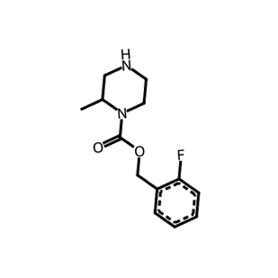 CC1CNCCN1C(=O)OCc1ccccc1F